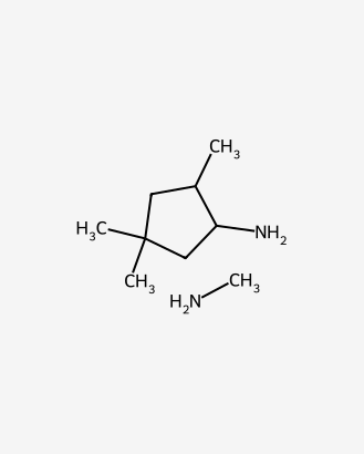 CC1CC(C)(C)CC1N.CN